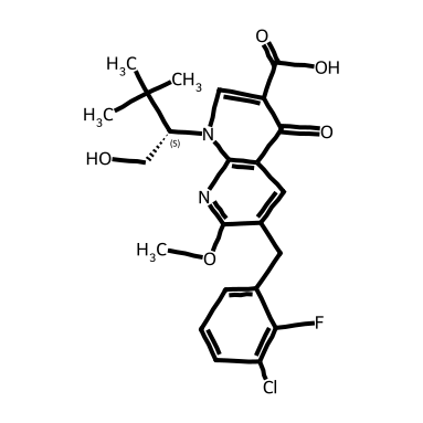 COc1nc2c(cc1Cc1cccc(Cl)c1F)c(=O)c(C(=O)O)cn2[C@H](CO)C(C)(C)C